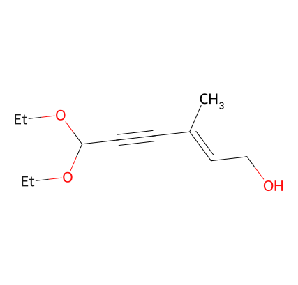 CCOC(C#C/C(C)=C/CO)OCC